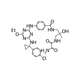 CCOc1nc(Nc2ccc(C(=O)NCC(C)(O)CNC(=O)C(N)=O)cc2)nc(NC2(c3ccc(Cl)cc3)CC2)n1